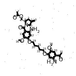 C=C1C[C@@H](COC(C)=O)N(C(=O)c2cc(OC)c(OCCCCCOc3cc(N)c(C(C)=O)cc3OC)cc2N)C1